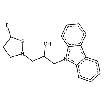 OC(CN1CCC(F)S1)Cn1c2ccccc2c2ccccc21